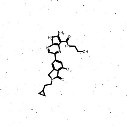 Nc1[nH]c2ncc(-c3cc4c(c(C(F)(F)F)c3)C(=O)N(CCC3CC3)C4)nc2c1C(=O)NCCO